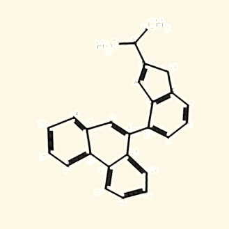 CC(C)C1=Cc2c(cccc2-c2cc3ccccc3c3ccccc23)[CH]1